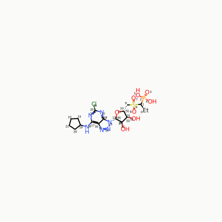 CCC(P(=O)(O)O)S(=O)(=O)C[C@H]1O[C@@H](n2nnc3c(NC4CCCC4)nc(Cl)nc32)[C@H](O)[C@@H]1O